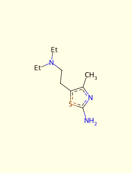 CCN(CC)CCc1sc(N)nc1C